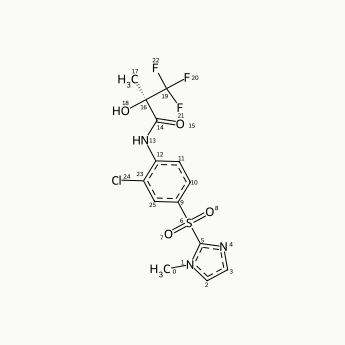 Cn1ccnc1S(=O)(=O)c1ccc(NC(=O)[C@@](C)(O)C(F)(F)F)c(Cl)c1